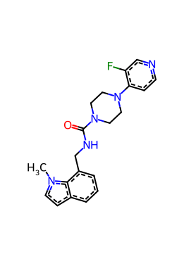 Cn1ccc2cccc(CNC(=O)N3CCN(c4ccncc4F)CC3)c21